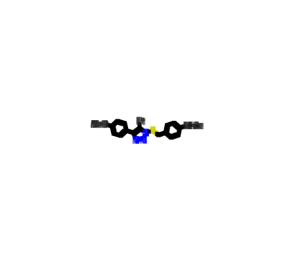 CCc1c(-c2ccc(OC)cc2)nnn1SCc1ccc(NC(C)=O)cc1